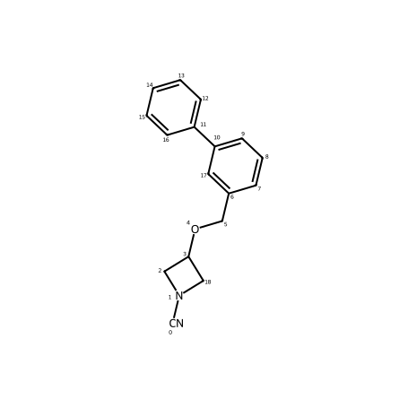 N#CN1CC(OCc2cccc(-c3ccccc3)c2)C1